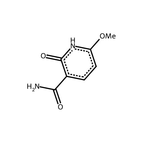 COc1ccc(C(N)=O)c(=O)[nH]1